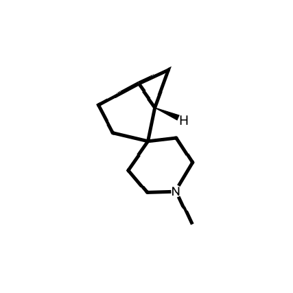 CN1CCC2(CCC3C[C@@H]32)CC1